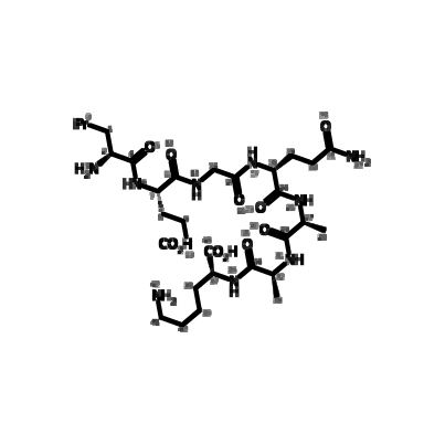 CC(C)C[C@H](N)C(=O)N[C@@H](CCC(=O)O)C(=O)NCC(=O)N[C@@H](CCC(N)=O)C(=O)N[C@@H](C)C(=O)N[C@@H](C)C(=O)N[C@@H](CCCCN)C(=O)O